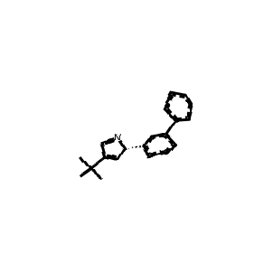 CC(C)(C)C1=C[C@@H](c2cccc(-c3ccccc3)c2)N=C1